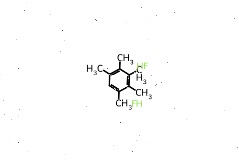 Cc1cc(C)c(C)c(C)c1C.F.F